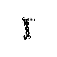 Cn1nccc1C(=O)N1CCN(c2ccc(-c3ccc4c(n3)n(C)c(=O)n4CC(C)(C)C)cc2)CC1